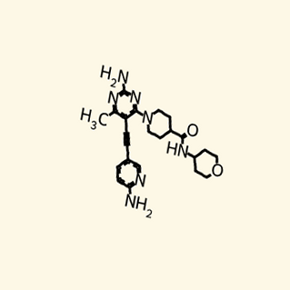 Cc1nc(N)nc(N2CCC(C(=O)NC3CCOCC3)CC2)c1C#Cc1ccc(N)nc1